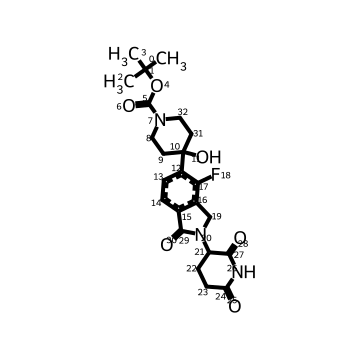 CC(C)(C)OC(=O)N1CCC(O)(c2ccc3c(c2F)CN(C2CCC(=O)NC2=O)C3=O)CC1